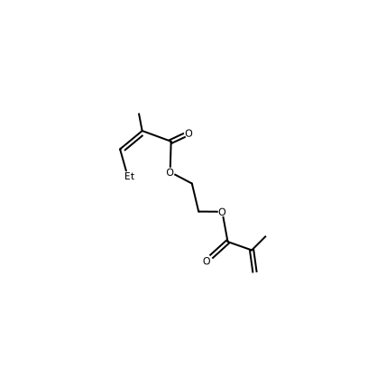 C=C(C)C(=O)OCCOC(=O)C(C)=CCC